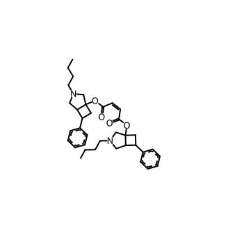 CCCCN1CC2C(c3ccccc3)CC2(OC(=O)/C=C\C(=O)OC23CC(c4ccccc4)C2CN(CCCC)C3)C1